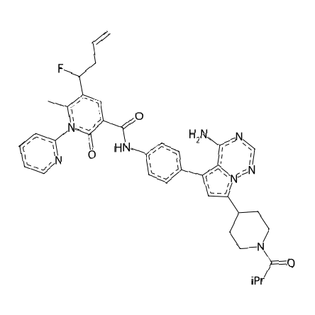 C=CCC(F)c1cc(C(=O)Nc2ccc(-c3cc(C4CCN(C(=O)C(C)C)CC4)n4ncnc(N)c34)cc2)c(=O)n(-c2ccccn2)c1C